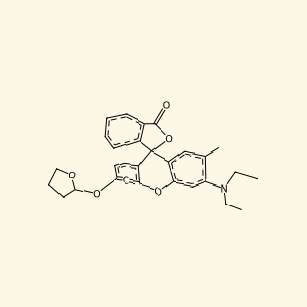 CCN(CC)c1cc2c(cc1C)C1(OC(=O)c3ccccc31)c1ccc(OC3CCCO3)cc1O2